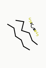 CCCCCC.CCCCCC.S=C=S